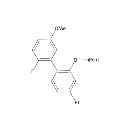 CCCCCOc1cc(CC)ccc1-c1cc(OC)ccc1F